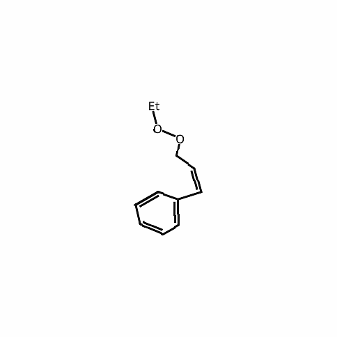 CCOOC/C=C\c1ccccc1